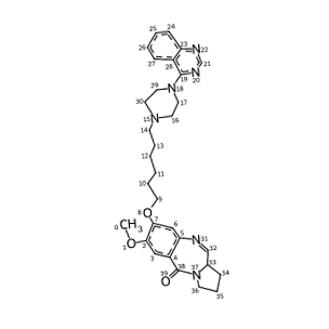 COc1cc2c(cc1OCCCCCCN1CCN(c3ncnc4ccccc34)CC1)N=CC1CCCN1C2=O